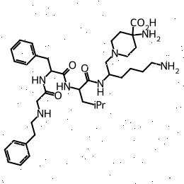 CC(C)CC(NC(=O)C(Cc1ccccc1)NC(=O)CNCCc1ccccc1)C(=O)NC(CCCCN)CN1CCC(N)(C(=O)O)CC1